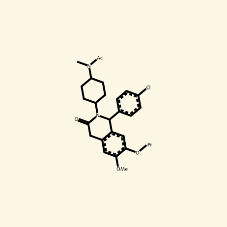 COc1cc2c(cc1OC(C)C)C(c1ccc(Cl)cc1)N(C1CCC(N(C)C(C)=O)CC1)C(=O)C2